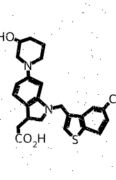 O=C(O)CC1CN(Cc2csc3ccc(Cl)cc23)c2cc(N3CCCC(O)C3)ccc21